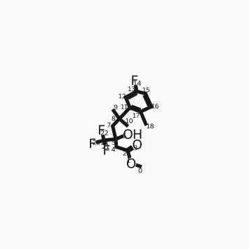 COC(=O)CC(O)(CC(C)(C)c1cc(F)ccc1C)C(F)(F)F